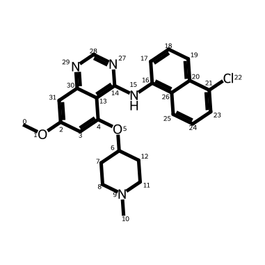 COc1cc(OC2CCN(C)CC2)c2c(Nc3cccc4c(Cl)cccc34)ncnc2c1